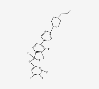 C/C=C/C1CCC(c2ccc(-c3ccc(C(F)(F)Oc4cc(F)c(F)c(F)c4)c(F)c3F)cc2)CC1